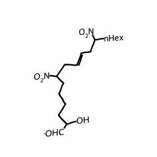 CCCCCCC(CC=CCC(CCCCC(O)[C]=O)[N+](=O)[O-])[N+](=O)[O-]